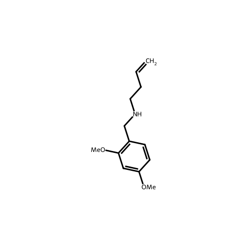 C=CCCNCc1ccc(OC)cc1OC